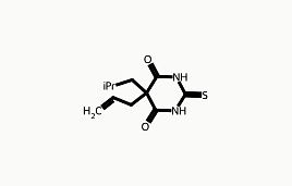 C=CCC1(CC(C)C)C(=O)NC(=S)NC1=O